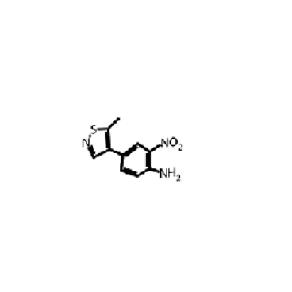 Cc1sncc1-c1ccc(N)c([N+](=O)[O-])c1